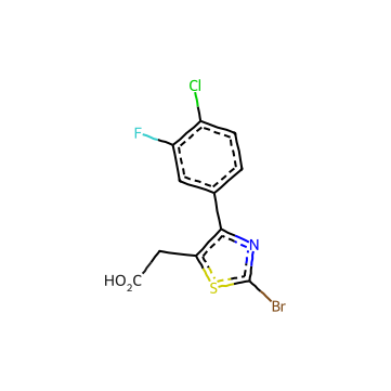 O=C(O)Cc1sc(Br)nc1-c1ccc(Cl)c(F)c1